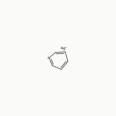 [Ag+].c1ccncc1